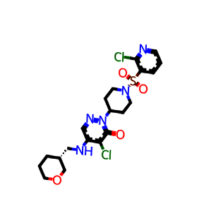 O=c1c(Cl)c(NC[C@H]2CCCOC2)cnn1C1CCN(S(=O)(=O)c2cccnc2Cl)CC1